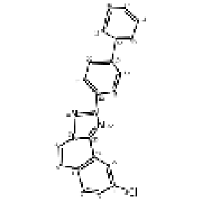 Clc1ccc2ccn3nc(-c4ccc(-c5ccccc5)cc4)nc3c2c1